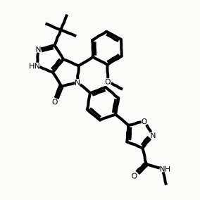 CNC(=O)c1cc(-c2ccc(N3C(=O)c4[nH]nc(C(C)(C)C)c4C3c3ccccc3OC)cc2)on1